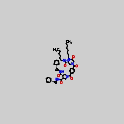 CCCCCCCCN1C(=O)CN(C(=O)c2ccc(C(=O)N3C[C@@H](C(=O)N[C@H]4C[C@@H]4c4ccccc4)[C@H](C(=O)N[C@H]4C[C@@H]4c4ccccc4)C3)cc2)C[C@@H]1C(=O)NCCCCCC